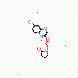 O=C1CCCN1CCOc1cnc2cc(Cl)ccc2n1